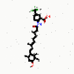 COc1cc(C)c(/C=C/C(C)=C/C=C/C(C)=C/C(=O)Nc2ccc(C(F)(F)F)cc2C(=O)O)c(C)c1C